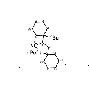 CCCCCC1(CC(C#N)C2(CCCC)CCCCC2)CCCCC1